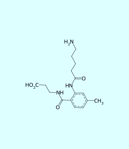 Cc1ccc(C(=O)NCCC(=O)O)c(NC(=O)CCCCN)c1